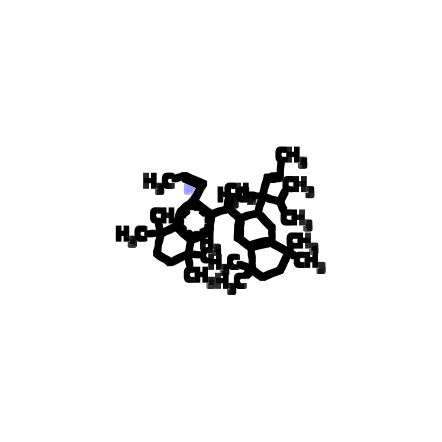 C=C(C1=CC2=C(CC1C(C)(C=CC)C(C)C)C(C)(C)CCC2(C)C)c1cc2c(cc1/C=C\C)C(C)(C)CCC2(C)C